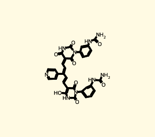 NC(=O)Nc1cccc(N2C(=O)NC(=O)C(=CC=C(C=Cc3c(O)[nH]c(=O)n(-c4cccc(NC(N)=O)c4)c3=O)c3ccncc3)C2=O)c1